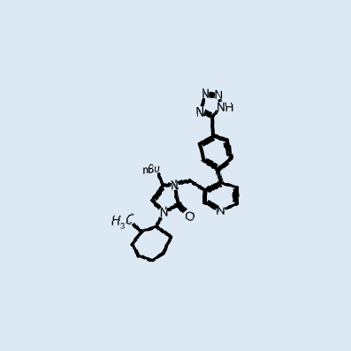 CCCCc1cn(C2CCCCCC2C)c(=O)n1Cc1cnccc1-c1ccc(-c2nnn[nH]2)cc1